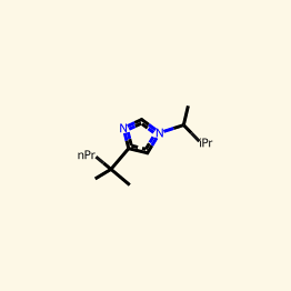 CCCC(C)(C)c1cn(C(C)C(C)C)cn1